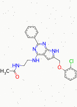 CC(=O)NCCNc1nc(-c2ccccc2)nc2[nH]c(COc3ccccc3Cl)cc12